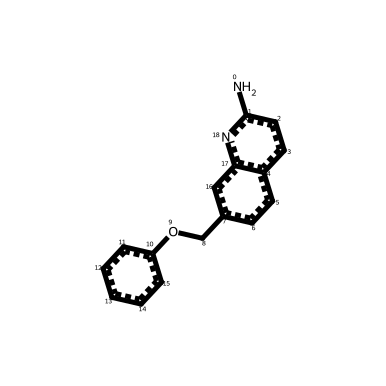 Nc1ccc2ccc(COc3ccccc3)cc2n1